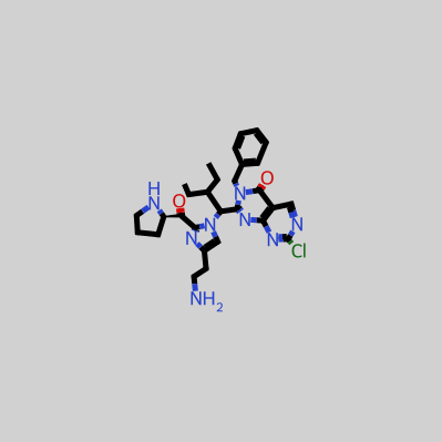 CCC(CC)C(c1nc2nc(Cl)ncc2c(=O)n1Cc1ccccc1)n1cc(CCN)nc1C(=O)[C@H]1CCCN1